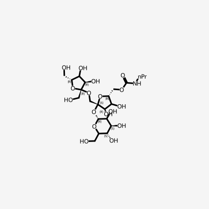 CCCNC(=O)OC[C@H]1O[C@@](CO[C@]2(CO)O[C@H](CO)C(O)[C@H]2O)(O[C@H]2OC(CO)[C@@H](O)[C@H](O)C2O)[C@H](O)C1O